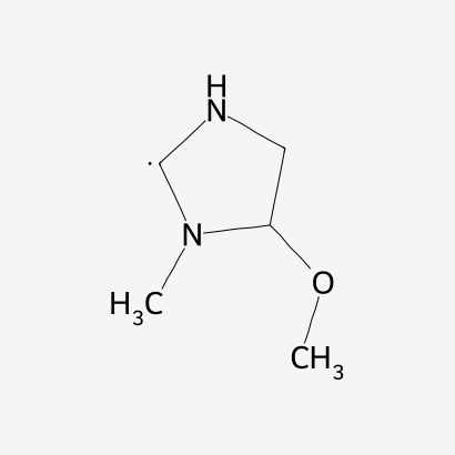 COC1CN[CH]N1C